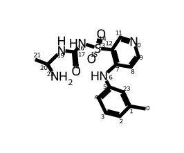 Cc1cccc(Nc2ccncc2S(=O)(=O)NC(=O)NC(C)N)c1